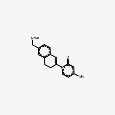 CNCc1ccc2c(c1)CCC(n1ccc(O)cc1=O)=C2